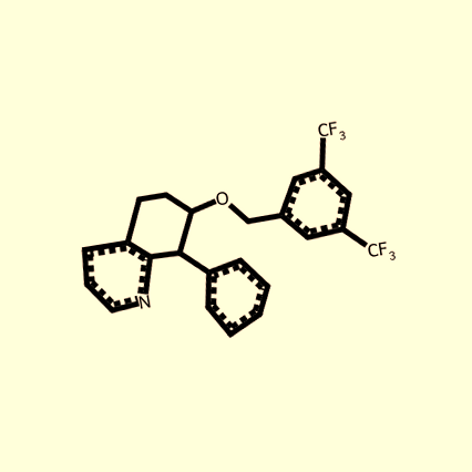 FC(F)(F)c1cc(COC2CCc3cccnc3C2c2ccccc2)cc(C(F)(F)F)c1